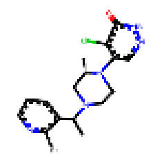 CCc1ncccc1C(C)N1CCN(c2cn[nH]c(=O)c2Cl)[C@H](C)C1